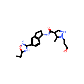 CCC1NC(c2ccc3c(c2)CC[C@H]3NC(=O)C2CNN(CCCO)C2C)NO1